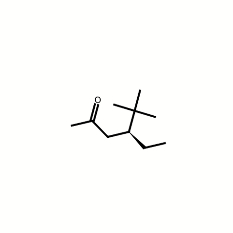 CC[C@@H](CC(C)=O)C(C)(C)C